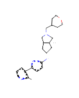 FC(F)(F)c1ncccc1-c1ccc(N[C@@H]2CC3CN(CC4CCOCC4)C[C@H]3C2)nn1